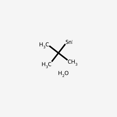 C[C](C)(C)[Sn].O